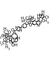 Cc1[nH]nc(Nc2ncnc3cc(OCC4CCN(c5cnc(C(=O)N6CC[C@H]7CC[C@@H](C(=O)O)N7C(=O)[C@@H](NC(=O)[C@H](C)N(C)C(=O)OC(C)(C)C)C6)cn5)CC4)c(S(=O)(=O)C(C)(C)C)cc23)c1C